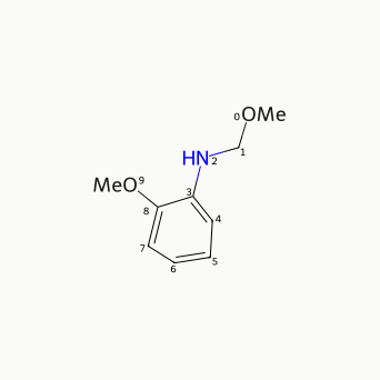 COCNc1ccccc1OC